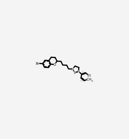 C/C=C\C(=C/CC)N1CCN(CCCCC2CCc3cc(Br)ccc3O2)S1